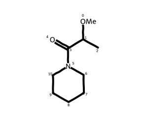 COC(C)C(=O)N1C[CH]CCC1